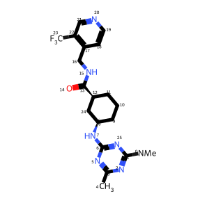 CNc1nc(C)nc(N[C@@H]2CCC[C@H](C(=O)NCc3ccncc3C(F)(F)F)C2)n1